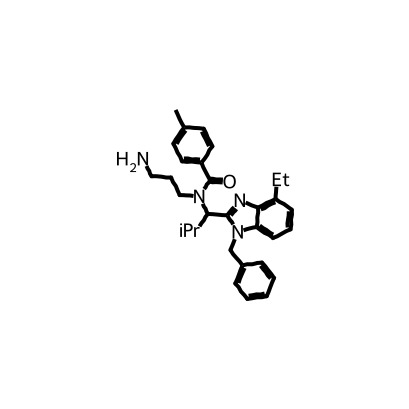 CCc1cccc2c1nc(C(C(C)C)N(CCCN)C(=O)c1ccc(C)cc1)n2Cc1ccccc1